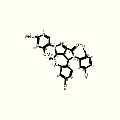 COc1ncc(-n2nc3c(c2C(C)C)C(c2ccc(Cl)cc2C)N(c2cc(Cl)ccc2C)C3=O)c(OC)n1